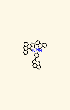 c1ccc2c(-c3cnc(-n4c(-c5ccc(-c6ccc7ccc8cccc9ccc6c7c89)cc5)nc5c6ccccc6c6ccccc6c54)c4ccccc34)c3ccccc3cc2c1